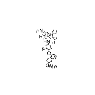 COc1ccc2c(Oc3ccc(NC(=O)c4c(C)n(CC5CNCO5)n(-c5ccccc5)c4=O)cc3F)ccnc2c1